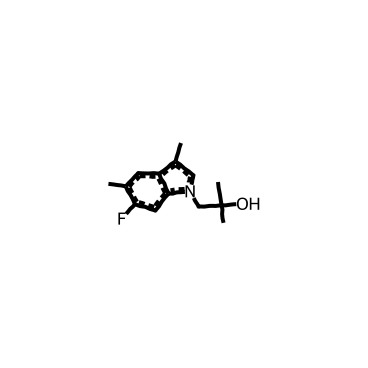 Cc1cc2c(C)cn(CC(C)(C)O)c2cc1F